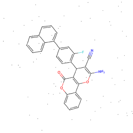 N#CC1=C(N)Oc2c(c(=O)oc3ccccc23)C1c1ccc(-c2cccc3ccccc23)cc1F